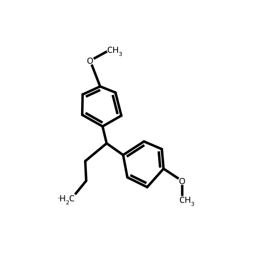 [CH2]CCC(c1ccc(OC)cc1)c1ccc(OC)cc1